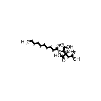 CCCCCCCCCC(=O)OC(C(=O)O)C(O)(CC(=O)O)C(=O)O